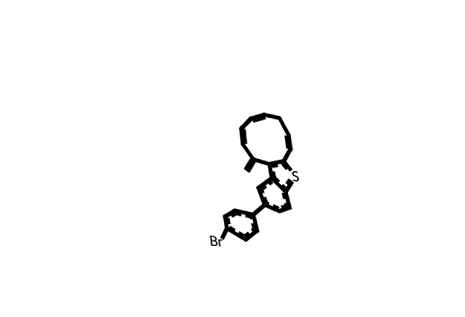 C=C1/C=C\C=C/C/C=C\c2sc3ccc(-c4ccc(Br)cc4)cc3c21